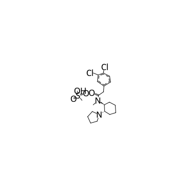 CN(C(=O)Cc1ccc(Cl)c(Cl)c1)[C@H]1CCCC[C@@H]1N1CCCC1.CS(=O)(=O)O